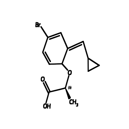 C[C@H](OC1C=CC(Br)=CC1=CC1CC1)C(=O)O